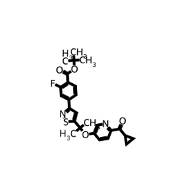 CC(C)(C)OC(=O)c1ccc(-c2cc(C(C)(C)Oc3ccc(C(=O)C4CC4)nc3)sn2)cc1F